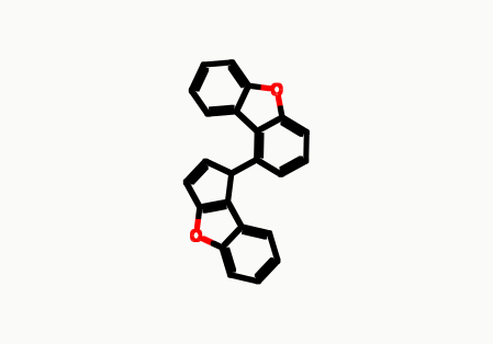 C1=CC(c2cccc3oc4ccccc4c23)c2c1oc1ccccc21